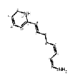 N/C=C\C=C/CC/C=C/C1=CC=CCN1